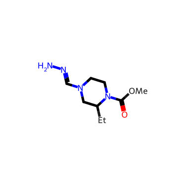 CCC1CN(C=NN)CCN1C(=O)OC